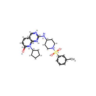 Cc1cccc(S(=O)(=O)N2CCC(Nc3ncc4ccc(=O)n(C5CCCC5)c4n3)CC2)c1